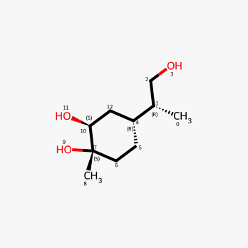 C[C@@H](CO)[C@@H]1CC[C@](C)(O)[C@@H](O)C1